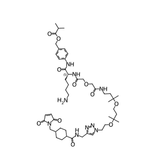 CC(C)C(=O)OCc1ccc(NC(=O)[C@H](CCCCN)NC(=O)COCC(=O)NCCC(C)(C)OCCC(C)(C)OCCn2cc(CNC(=O)C3CCC(CN4C(=O)C=CC4=O)CC3)nn2)cc1